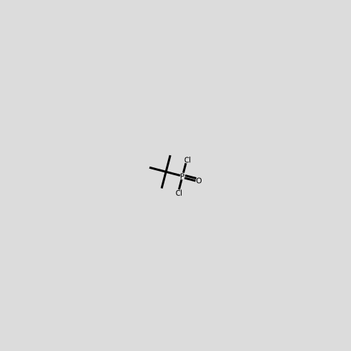 CC(C)(C)P(=O)(Cl)Cl